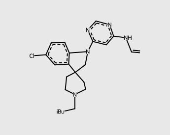 C=CNc1cc(N2CC3(CCN(CC(C)CC)CC3)c3cc(Cl)ccc32)ncn1